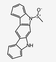 C[S+]([O-])n1c2ccccc2c2cc3c(cc21)[nH]c1ccccc13